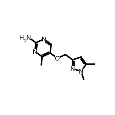 Cc1nc(N)ncc1OCc1cc(C)n(C)n1